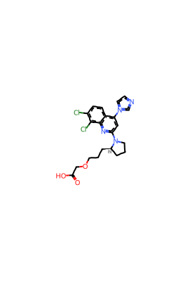 O=C(O)COCCC[C@@H]1CCCN1c1cc(-n2ccnc2)c2ccc(Cl)c(Cl)c2n1